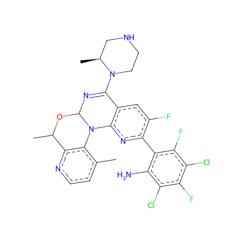 Cc1ccnc2c1N1c3nc(-c4c(N)c(Cl)c(F)c(Cl)c4F)c(F)cc3C(N3CCNC[C@@H]3C)=NC1OC2C